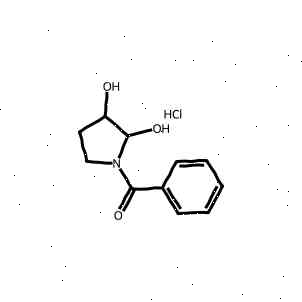 Cl.O=C(c1ccccc1)N1CCC(O)C1O